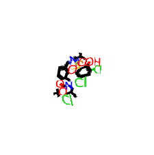 CC(C)CN(Cc1cccc(CN(CC(C)CCl)C(=O)OC(C)(C)C)c1)S(=O)(=O)c1cc(Cl)cc(Cl)c1O